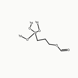 [3H]O[Si](CCCOC=O)(O[3H])O[3H]